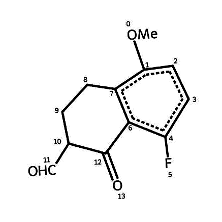 COc1ccc(F)c2c1CCC(C=O)C2=O